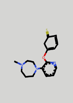 CN1CCCN(c2cccnc2OC2=CC=CC(=S)C2)CC1